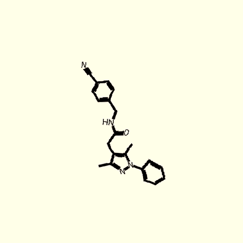 Cc1nn(-c2ccccc2)c(C)c1CC(=O)NCc1ccc(C#N)cc1